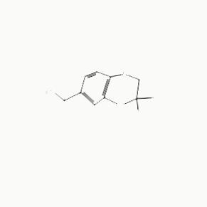 CC(C)Cc1ccc2c(c1)OC(C)(C)CN2